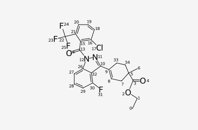 CCOC(=O)C1(C)CC=C(c2nn(C(=O)c3c(Cl)cccc3C(F)(F)F)c3cccc(F)c23)CC1